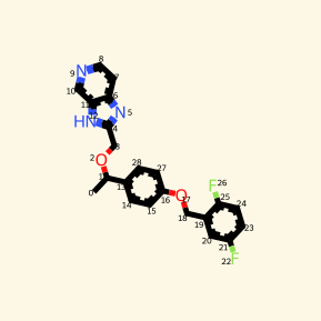 CC(OCc1nc2ccncc2[nH]1)c1ccc(OCc2cc(F)ccc2F)cc1